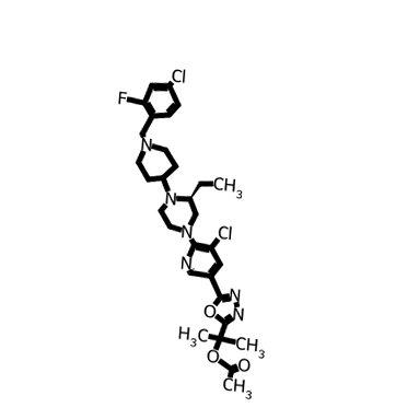 CC[C@H]1CN(c2ncc(-c3nnc(C(C)(C)OC(C)=O)o3)cc2Cl)CCN1C1CCN(Cc2ccc(Cl)cc2F)CC1